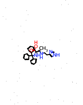 C[C@@H](NCCc1c[nH]cn1)[C@H](NC(c1ccccc1)(c1ccccc1)c1ccccc1)C(=O)O